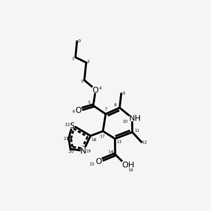 CCCCOC(=O)C1=C(C)NC(C)=C(C(=O)O)C1c1nccs1